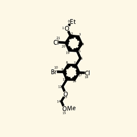 CCOc1ccc(Cc2cc(Br)c(COCOC)cc2Cl)cc1Cl